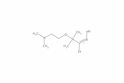 CCC/N=C(/CC)[Si](C)(C)OCCN(C)C